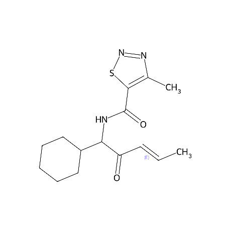 C/C=C/C(=O)C(NC(=O)c1snnc1C)C1CCCCC1